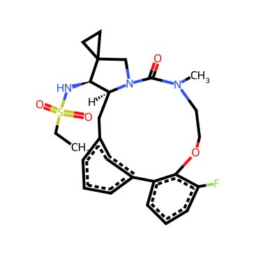 CCS(=O)(=O)N[C@@H]1[C@@H]2Cc3cccc(c3)-c3cccc(F)c3OCCN(C)C(=O)N2CC12CC2